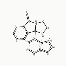 O=C1c2ccccc2C2(c3cccc4cc[nH]c34)SCCN12